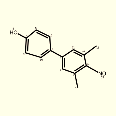 Cc1cc(-c2ccc(O)cc2)cc(C)c1N=O